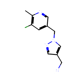 Cc1ncc(Cn2cc(CN)cn2)cc1F